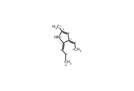 C/C=c1/cc(C)[nH]/c1=C/CC